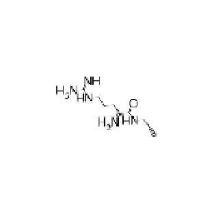 C#CCNC(=O)[C@H](N)CCCNC(=N)N